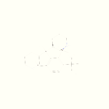 CC(C)(C)c1ccc(CP)c(C(P)(C2CCCNC2)C2CCCNC2)c1C(C)(C)C